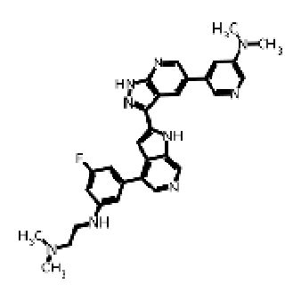 CN(C)CCNc1cc(F)cc(-c2cncc3[nH]c(-c4n[nH]c5ncc(-c6cncc(N(C)C)c6)cc45)cc23)c1